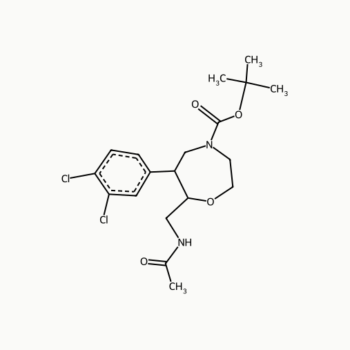 CC(=O)NCC1OCCN(C(=O)OC(C)(C)C)CC1c1ccc(Cl)c(Cl)c1